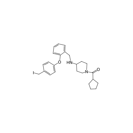 O=C(C1CCCC1)N1CCC(NCc2ccccc2Oc2ccc(CI)cc2)CC1